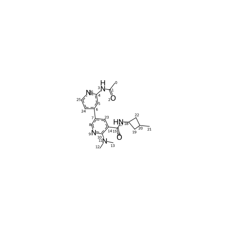 CC(=O)Nc1cc(-c2cnc(N(C)C)c(C(=O)NC3CC(C)C3)c2)ccn1